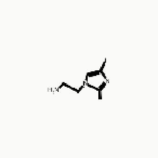 Cc1nc(I)cn1CCN